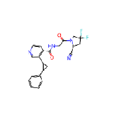 N#CC1CC(F)(F)CN1C(=O)CNC(=O)c1ccncc1C1CC1c1ccccc1